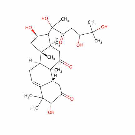 CC(C)(O)C(O)CC(=O)C(C)(O)C1[C@H](O)C[C@@]2(C)[C@@H]3CC=C4[C@@H](CC(=O)[C@H](O)C4(C)C)[C@]3(C)C(=O)C[C@]12C